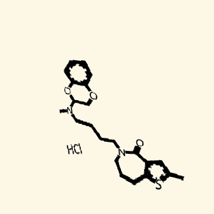 Cc1cc2c(s1)CCCN(CCCCN(C)C1COc3ccccc3O1)C2=O.Cl